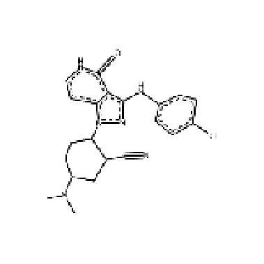 CN(C)C1CCC(n2nc(Nc3ccc(Cl)cc3)c3c(=O)[nH]ccc32)C(C#N)C1